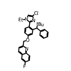 CCn1cc(Cl)nc1-c1ccc(OCc2ccc3cc(F)ccc3n2)cc1C(c1ccccc1)C(C)(C)C